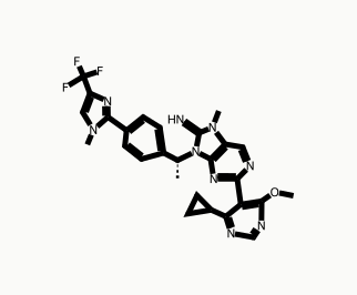 COc1ncnc(C2CC2)c1-c1ncc2c(n1)n([C@H](C)c1ccc(-c3nc(C(F)(F)F)cn3C)cc1)c(=N)n2C